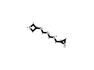 C(SCSC1CSC1)SCC1CS1